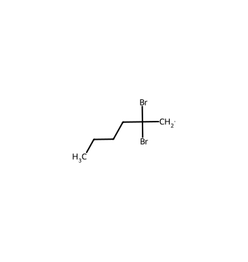 [CH2]C(Br)(Br)CCCC